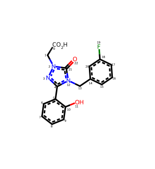 O=C(O)Cn1nc(-c2ccccc2O)n(Cc2cccc(F)c2)c1=O